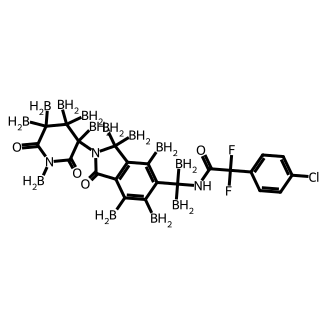 Bc1c(B)c(C(B)(B)NC(=O)C(F)(F)c2ccc(Cl)cc2)c(B)c2c1C(=O)N(C1(B)C(=O)N(B)C(=O)C(B)(B)C1(B)B)C2(B)B